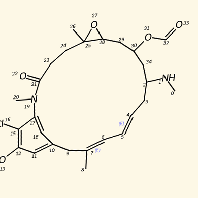 CNC1C/C=C/C=C(\C)Cc2cc(OC)c(Cl)c(c2)N(C)C(=O)CCC2(C)OC2CC(OC=O)C1